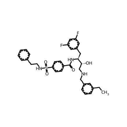 CCc1cccc(CNC[C@@H](O)[C@H](Cc2cc(F)cc(F)c2)NC(=O)c2ccc(S(=O)(=O)NCCc3ccccc3)cc2)c1